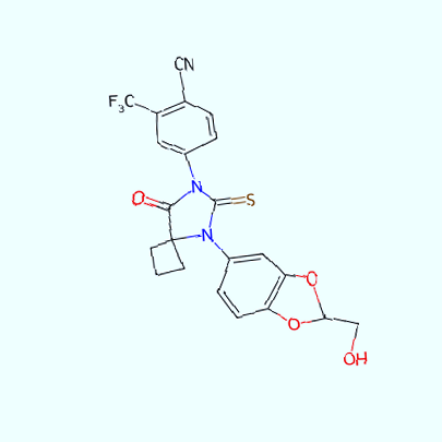 N#Cc1ccc(N2C(=O)C3(CCC3)N(c3ccc4c(c3)OC(CO)O4)C2=S)cc1C(F)(F)F